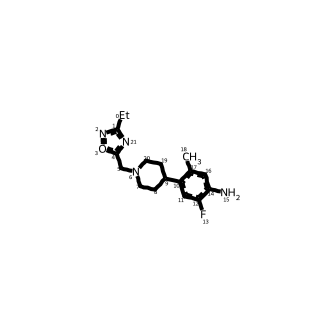 CCc1noc(CN2CCC(c3cc(F)c(N)cc3C)CC2)n1